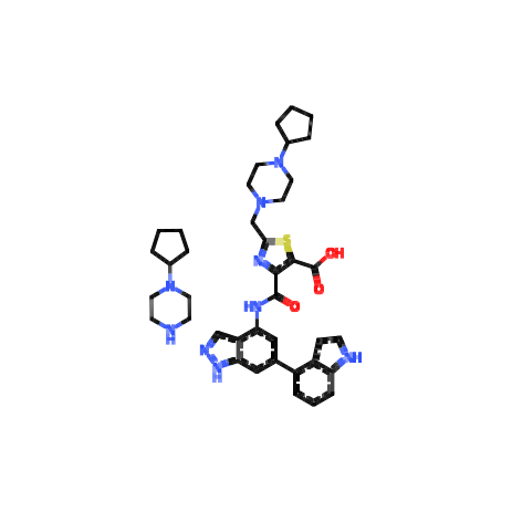 C1CCC(N2CCNCC2)C1.O=C(Nc1cc(-c2cccc3[nH]ccc23)cc2[nH]ncc12)c1nc(CN2CCN(C3CCCC3)CC2)sc1C(=O)O